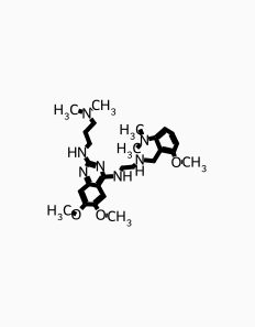 COc1cc2nc(NCCCN(C)C)nc(NCCNCc3c(OC)cccc3N(C)C)c2cc1OC